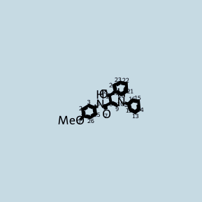 COc1ccc(NC(=O)C(=CNc2ccccc2)C(=O)c2ccccc2)cc1